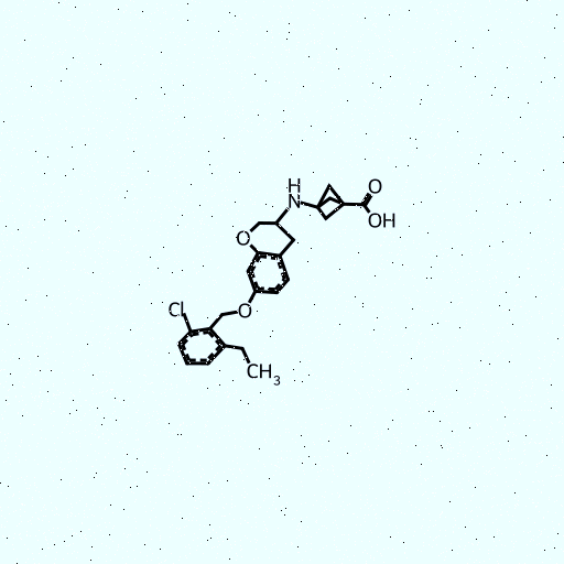 CCc1cccc(Cl)c1COc1ccc2c(c1)OCC(NC13CC(C(=O)O)(C1)C3)C2